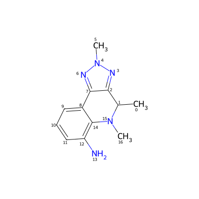 CC1c2nn(C)nc2-c2cccc(N)c2N1C